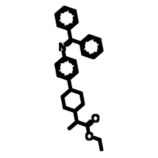 CCOC(=O)C(C)C1CCC(c2ccc(N=C(c3ccccc3)c3ccccc3)cc2)CC1